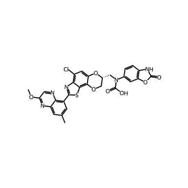 COc1cnc2c(-c3nc4c(Cl)cc5c(c4s3)OC[C@@H](CN(C(=O)O)c3ccc4[nH]c(=O)oc4c3)O5)cc(C)cc2n1